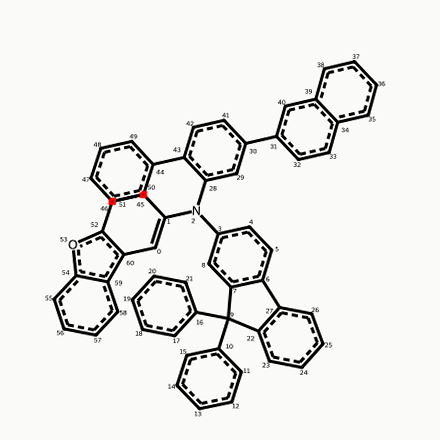 C1=C(N(c2ccc3c(c2)C(c2ccccc2)(c2ccccc2)c2ccccc2-3)c2cc(-c3ccc4ccccc4c3)ccc2-c2ccccc2)CCc2oc3ccccc3c21